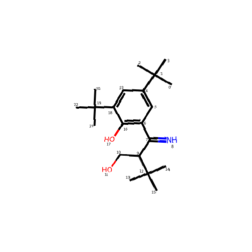 CC(C)(C)c1cc(C(=N)C(CO)C(C)(C)C)c(O)c(C(C)(C)C)c1